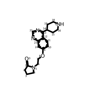 O=C1CCCN1CCOc1ccc2c(C3CCNCC3)ncnc2c1